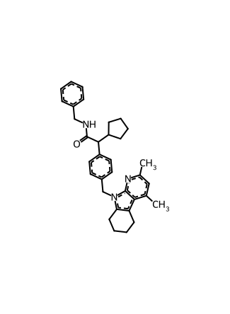 Cc1cc(C)c2c3c(n(Cc4ccc(C(C(=O)NCc5ccccc5)C5CCCC5)cc4)c2n1)CCCC3